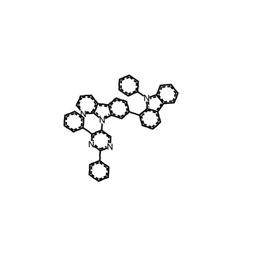 c1ccc(-c2ncc(-n3c4cc(-c5cccc6c7ccccc7n(-c7ccccc7)c56)ccc4c4cccnc43)c(-c3ccccc3)n2)cc1